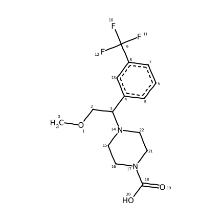 COCC(c1cccc(C(F)(F)F)c1)N1CCN(C(=O)O)CC1